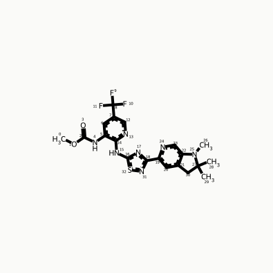 COC(=O)Nc1cc(C(F)(F)F)cnc1Nc1nc(-c2cc3c(cn2)N(C)C(C)(C)C3)ns1